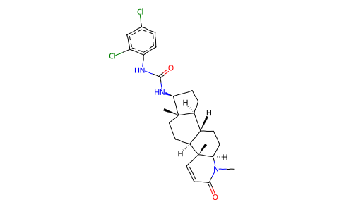 CN1C(=O)C=C[C@]2(C)[C@H]3CC[C@]4(C)[C@@H](NC(=O)Nc5ccc(Cl)cc5Cl)CC[C@H]4[C@@H]3CC[C@@H]12